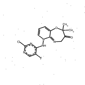 CC1(C)OC2=CC=CN(Nc3nc(Cl)ncc3F)C2=NCC1=O